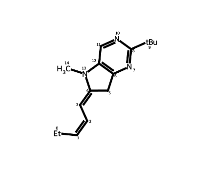 CC/C=C\C=C1/Cc2nc(C(C)(C)C)ncc2N1C